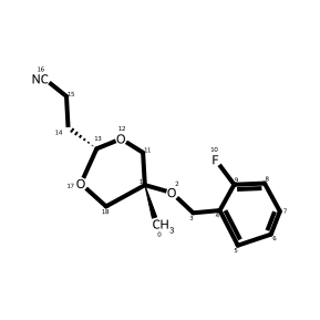 C[C@]1(OCc2ccccc2F)CO[C@@H](CCC#N)OC1